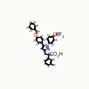 Cc1cccc(C(Cc2cc(-c3ccc(OCc4ccccc4)cc3)n(-c3ccc(OC(F)(F)F)cc3)n2)C(=O)O)c1